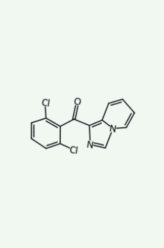 O=C(c1c(Cl)cccc1Cl)c1ncn2ccccc12